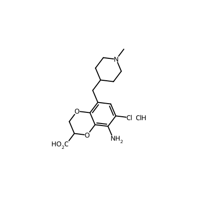 CN1CCC(Cc2cc(Cl)c(N)c3c2OCC(C(=O)O)O3)CC1.Cl